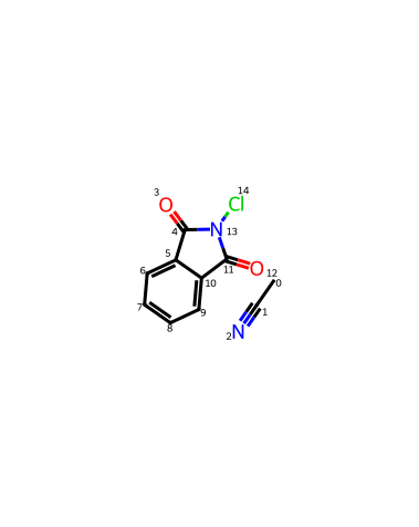 CC#N.O=C1c2ccccc2C(=O)N1Cl